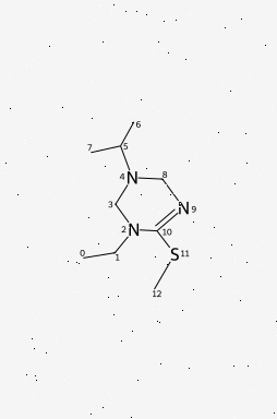 CCN1CN(C(C)C)CN=C1SC